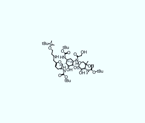 CN(C(=O)OC(C)(C)C)[C@@H]1[C@@H](O)[C@@H](O[C@H]2[C@H](NC(=O)CO)C[C@H](NC(=O)OC(C)(C)C)C([C@H]3OC(CNCCO[Si](C)(C)C(C)(C)C)=CC[C@H]3NC(=O)OC(C)(C)C)[C@@H]2O)OC[C@]1(C)O